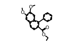 CCOC(=O)c1ccc2cc(OC)c(OC)cc2c1-c1ccccc1